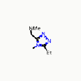 CCc1nnc(CNC)n1C